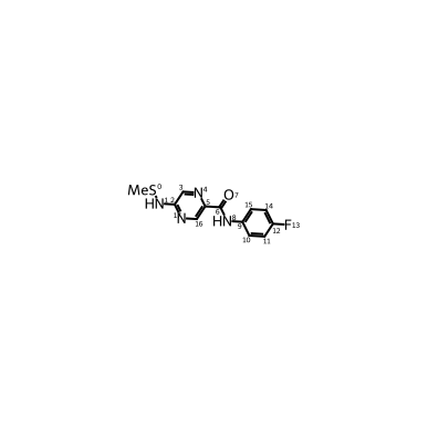 CSNc1cnc(C(=O)Nc2ccc(F)cc2)cn1